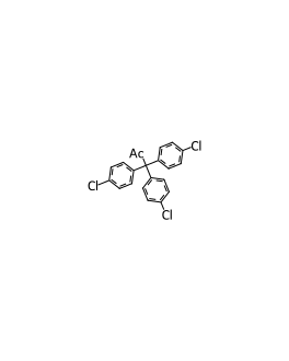 CC(=O)C(c1ccc(Cl)cc1)(c1ccc(Cl)cc1)c1ccc(Cl)cc1